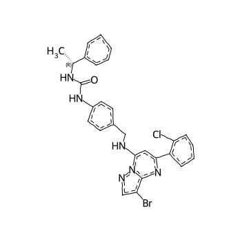 C[C@@H](NC(=O)Nc1ccc(CNc2cc(-c3ccccc3Cl)nc3c(Br)cnn23)cc1)c1ccccc1